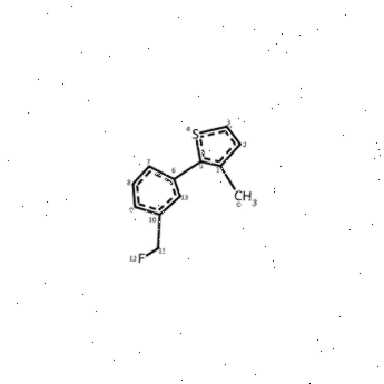 Cc1c[c]sc1-c1cccc(CF)c1